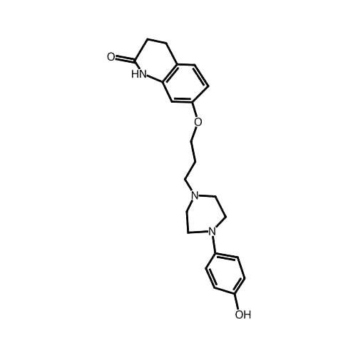 O=C1CCc2ccc(OCCCN3CCN(c4ccc(O)cc4)CC3)cc2N1